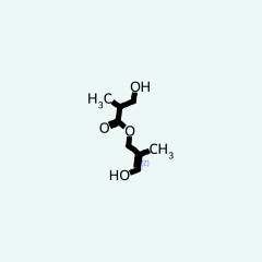 C/C(=C/O)COC(=O)C(C)CO